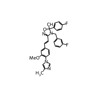 COc1cc(/C=C/C2=NOC(C)(c3ccc(F)cc3)N2Cc2cccc(F)c2)ccc1-n1cnc(C)c1